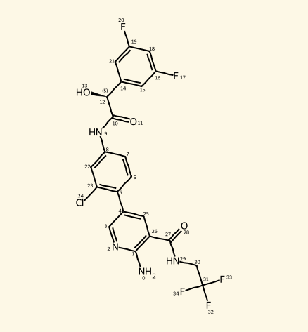 Nc1ncc(-c2ccc(NC(=O)[C@@H](O)c3cc(F)cc(F)c3)cc2Cl)cc1C(=O)NCC(F)(F)F